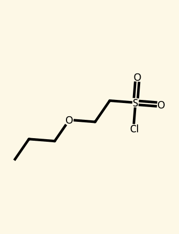 CCCOCCS(=O)(=O)Cl